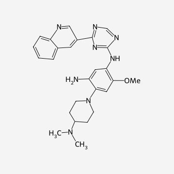 COc1cc(N2CCC(N(C)C)CC2)c(N)cc1Nc1ncnc(-c2cnc3ccccc3c2)n1